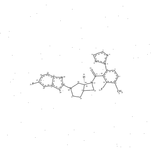 Cc1ccc(-n2nccn2)c(C(=O)N2CC3CCN(c4nc5ccc(F)cc5s4)C[C@H]32)c1F